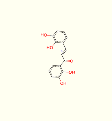 O=C(/C=C/c1cccc(O)c1O)c1cccc(O)c1O